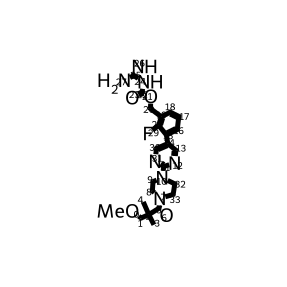 COCC(C)(C)C(=O)N1CCN(c2ncc(-c3cccc(COC(=O)NC(=N)N)c3F)cn2)CC1